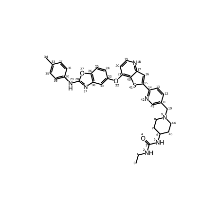 CCNC(=O)NC1CCN(Cc2ccc(-c3cc4nccc(Oc5ccc6oc(Nc7ccc(C)cc7)nc6c5)c4s3)nc2)CC1